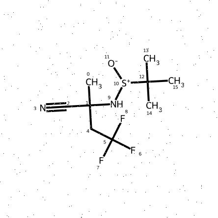 CC(C#N)(CC(F)(F)F)N[S+]([O-])C(C)(C)C